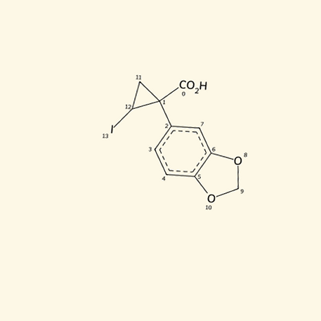 O=C(O)C1(c2ccc3c(c2)OCO3)CC1I